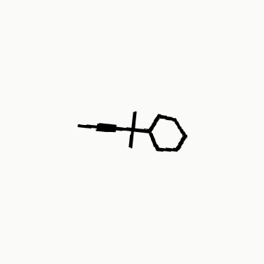 CC#CC(C)(C)C1CCCCC1